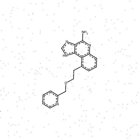 Nc1nc2cccc(CCOCc3ccccn3)c2c2[nH]cnc12